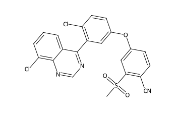 CS(=O)(=O)c1cc(Oc2ccc(Cl)c(-c3ncnc4c(Cl)cccc34)c2)ccc1C#N